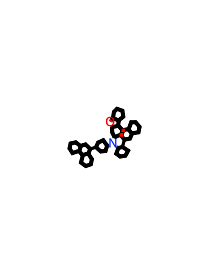 c1ccc(N(c2ccc(-c3cc4ccccc4c4ccccc34)cc2)c2ccc3c(c2)oc2ccccc23)c(-c2ccc3ccccc3c2)c1